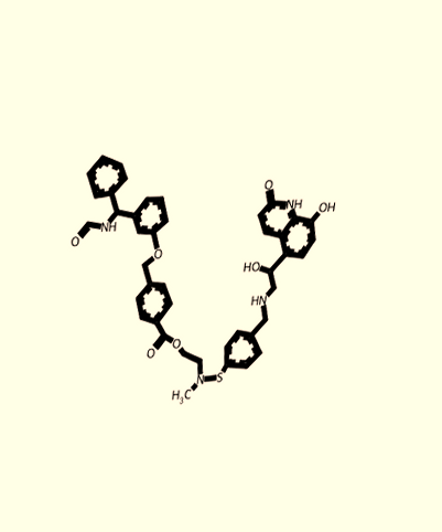 CN(CCOC(=O)c1ccc(COc2cccc(C(NC=O)c3ccccc3)c2)cc1)Sc1ccc(CNCC(O)c2ccc(O)c3[nH]c(=O)ccc23)cc1